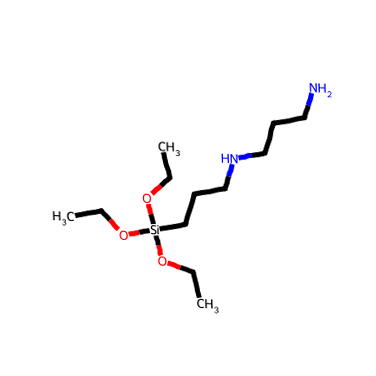 CCO[Si](CCCNCCCN)(OCC)OCC